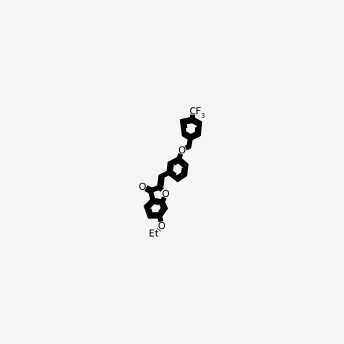 CCOc1ccc2c(c1)OC(=Cc1cccc(OCc3ccc(C(F)(F)F)cc3)c1)C2=O